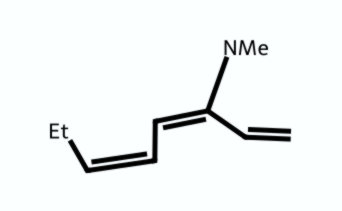 C=C/C(=C\C=C/CC)NC